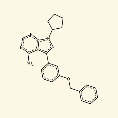 Nc1ncnc2c1c(-c1cccc(OCc3ccccc3)c1)nn2C1CCCC1